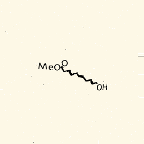 COC(=O)CC=CCC=CCC=CCO